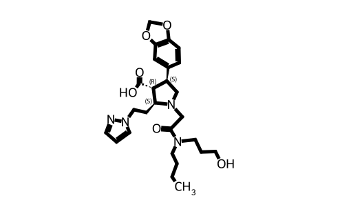 CCCCN(CCCO)C(=O)CN1C[C@H](c2ccc3c(c2)OCO3)[C@@H](C(=O)O)[C@@H]1CCn1cccn1